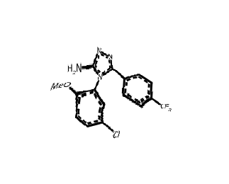 COc1ccc(Cl)cc1-n1c(N)nnc1-c1ccc(C(F)(F)F)cc1